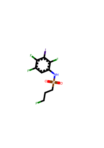 O=S(=O)(CCCF)Nc1cc(F)c(F)c(I)c1F